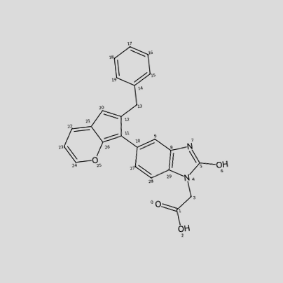 O=C(O)Cn1c(O)nc2cc(-c3c(Cc4ccccc4)cc4cccoc3-4)ccc21